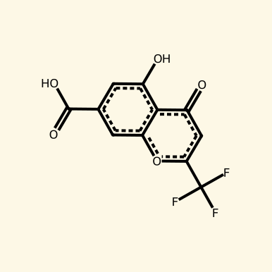 O=C(O)c1cc(O)c2c(=O)cc(C(F)(F)F)oc2c1